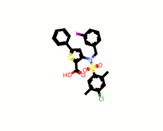 Cc1cc(S(=O)(=O)N(Cc2cccc(I)c2)c2cc(C3=C=C=CC=C3)sc2C(=O)O)c(C)cc1Cl